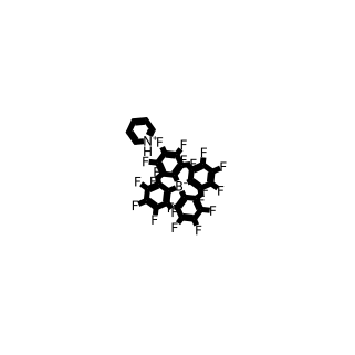 Fc1c(F)c(F)c([B-](c2c(F)c(F)c(F)c(F)c2F)(c2c(F)c(F)c(F)c(F)c2F)c2c(F)c(F)c(F)c(F)c2F)c(F)c1F.c1cc[nH+]cc1